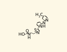 Cc1ccnc(Nc2cccc(-c3cnc(CCNC(=O)CO)s3)n2)c1